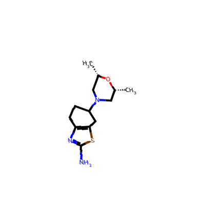 C[C@@H]1CN(C2CCc3nc(N)sc3C2)C[C@H](C)O1